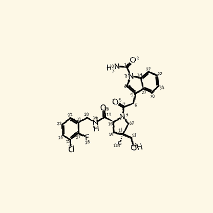 NC(=O)n1cc(CC(=O)N2C[C@@](F)(CO)C[C@H]2C(=O)NCc2cccc(Cl)c2F)c2ccccc21